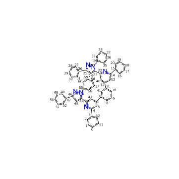 c1ccc(-c2cc(-c3cccc(-c4cc(-c5ccccc5)nc(-c5cc(-c6ccccc6)nn5-c5ccccc5)c4)c3)cc(-c3cc(-c4ccccc4)nn3-c3ccccc3)n2)cc1